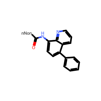 CCCCCCCCCC(=O)Nc1ccc(-c2ccccc2)c2cccnc12